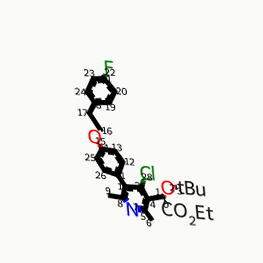 CCOC(=O)[C@@H](OC(C)(C)C)c1c(C)nc(C)c(-c2ccc(OCCc3ccc(F)cc3)cc2)c1Cl